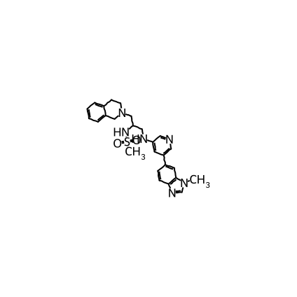 Cn1cnc2ccc(-c3cncc(NCC(CN4CCc5ccccc5C4)NS(C)(=O)=O)c3)cc21